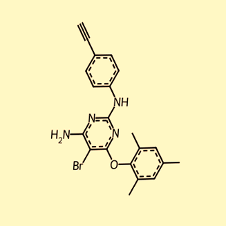 C#Cc1ccc(Nc2nc(N)c(Br)c(Oc3c(C)cc(C)cc3C)n2)cc1